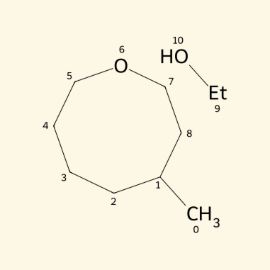 CC1CCCCOCC1.CCO